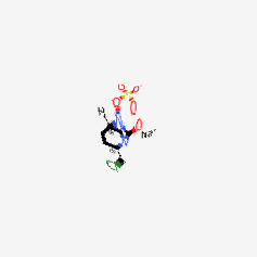 O=C1N2C[C@@H](CC[C@H]2CCl)N1OS(=O)(=O)[O-].[Na+]